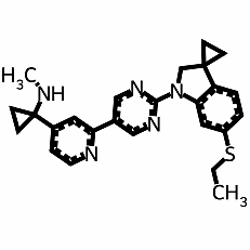 CCSc1ccc2c(c1)N(c1ncc(-c3cc(C4(NC)CC4)ccn3)cn1)CC21CC1